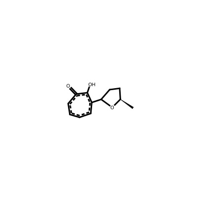 C[C@@H]1CCC(c2ccccc(=O)c2O)O1